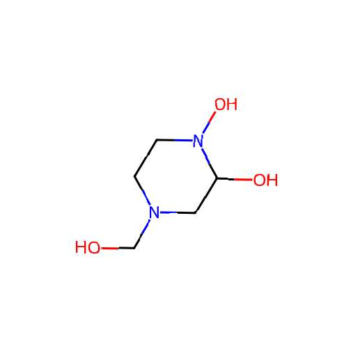 OCN1CCN(O)C(O)C1